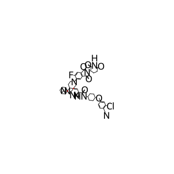 N#Cc1ccc(OC2CCC(NC(=O)c3ccc(N4CC5CC(C4)N5CC4CCN(c5cc6c(cc5F)C(=O)N(C5CCC(=O)NC5=O)C6=O)CC4)nn3)CC2)cc1Cl